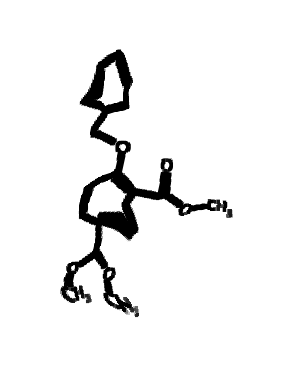 COC(=O)c1cc(C(OC)OC)ccc1OCc1ccccc1